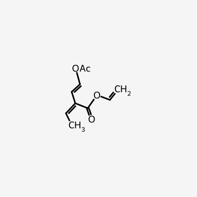 C=COC(=O)C(C=COC(C)=O)=CC